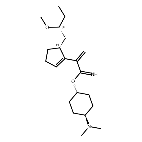 C=C(C(=N)O[C@H]1CC[C@H](N(C)C)CC1)C1=CCC[C@@H]1C[C@@H](CC)OC